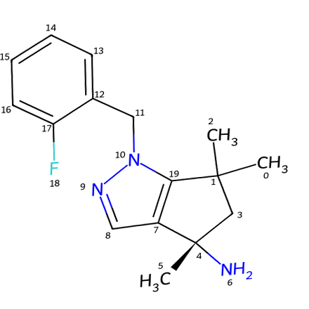 CC1(C)C[C@](C)(N)c2cnn(Cc3ccccc3F)c21